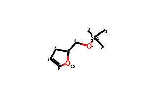 C[Si](C)(C)OCC1CC=CO1